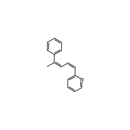 C/C(=C/C=C\c1ccccn1)c1ccccc1